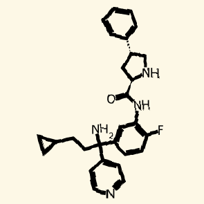 NC(CCC1CC1)(c1ccncc1)c1ccc(F)c(NC(=O)[C@H]2C[C@H](c3ccccc3)CN2)c1